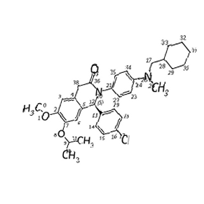 COc1cc2c(cc1OC(C)C)[C@H](c1ccc(Cl)cc1)N(c1ccc(N(C)CC3CCCCC3)cc1)C(=O)C2